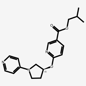 CC(C)COC(=O)c1ccc(O[C@H]2CCN(c3ccncc3)C2)nc1